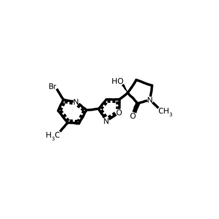 Cc1cc(Br)nc(-c2cc([C@]3(O)CCN(C)C3=O)on2)c1